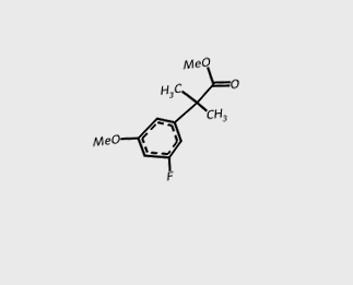 COC(=O)C(C)(C)c1cc(F)cc(OC)c1